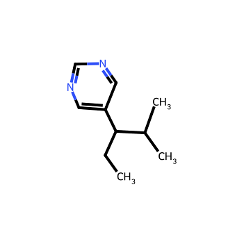 CCC(c1cncnc1)C(C)C